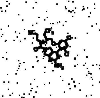 N#CCCNC(=O)N1Cc2nc(N)nc(-c3c(Cl)cc(Cl)cc3OCCCC(F)(F)F)c2C1